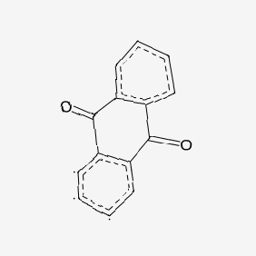 O=C1c2[c][c][c]cc2C(=O)c2ccccc21